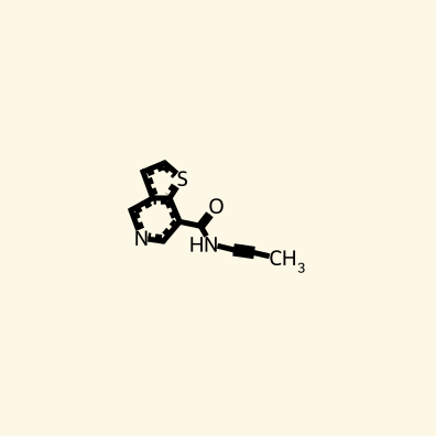 CC#CNC(=O)c1cncc2ccsc12